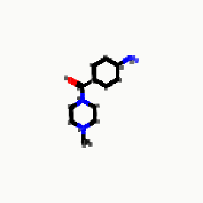 CN1CCN(C(=O)[C@H]2CC[C@H](N)CC2)CC1